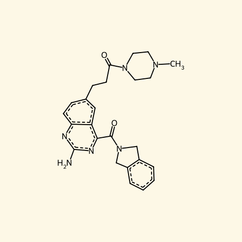 CN1CCN(C(=O)CCc2ccc3nc(N)nc(C(=O)N4Cc5ccccc5C4)c3c2)CC1